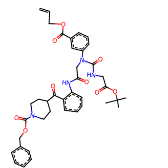 C=CCOC(=O)c1cccc(N(CC(=O)Nc2ccccc2C(=O)C2CCN(C(=O)OCc3ccccc3)CC2)C(=O)NCC(=O)OC(C)(C)C)c1